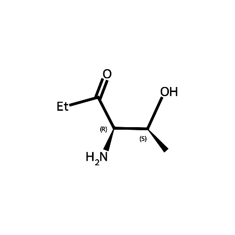 CCC(=O)[C@H](N)[C@H](C)O